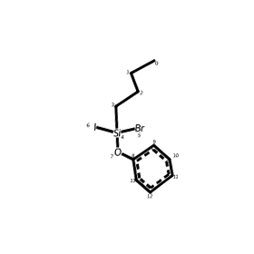 CCCC[Si](Br)(I)Oc1ccccc1